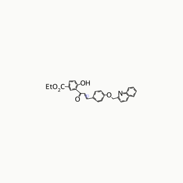 CCOC(=O)c1ccc(O)c(C(=O)/C=C/c2ccc(OCc3ccc4ccccc4n3)cc2)c1